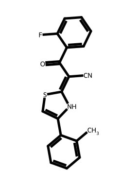 Cc1ccccc1C1=CSC(=C(C#N)C(=O)c2ccccc2F)N1